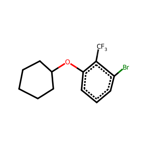 FC(F)(F)c1c(Br)cccc1OC1CCCCC1